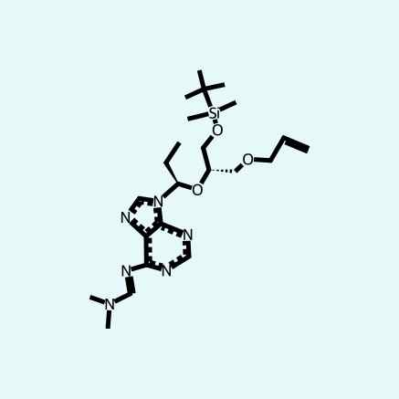 C=CCOC[C@@H](CO[Si](C)(C)C(C)(C)C)O[C@H](CC)n1cnc2c(/N=C/N(C)C)ncnc21